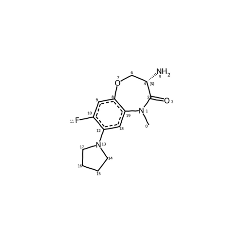 CN1C(=O)[C@@H](N)COc2cc(F)c(N3CCCC3)cc21